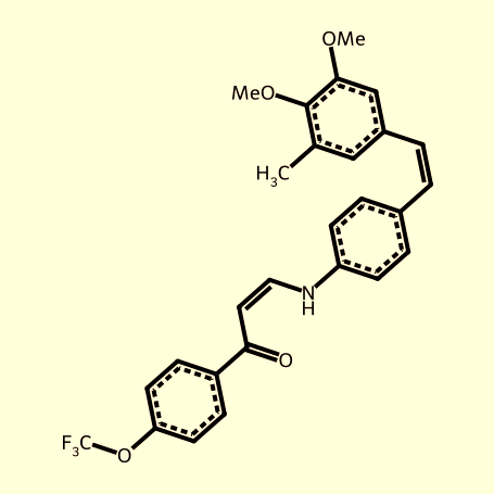 COc1cc(/C=C\c2ccc(N/C=C\C(=O)c3ccc(OC(F)(F)F)cc3)cc2)cc(C)c1OC